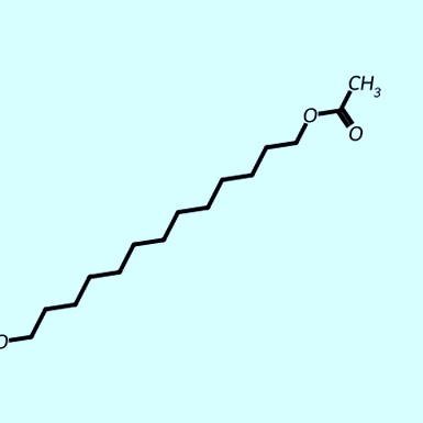 CC(=O)OCCCCCCCCCCCCCO